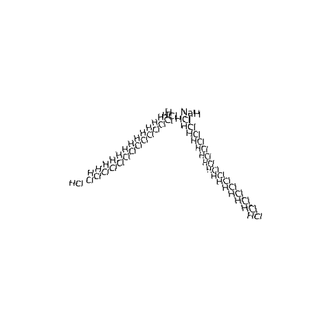 Cl.Cl.Cl.Cl.Cl.Cl.Cl.Cl.Cl.Cl.Cl.Cl.Cl.Cl.Cl.Cl.Cl.Cl.Cl.Cl.Cl.Cl.Cl.Cl.Cl.Cl.Cl.Cl.Cl.Cl.[NaH]